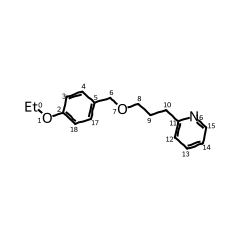 CCOc1ccc(COCCCc2ccccn2)cc1